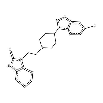 O=c1[nH]c2ccccc2n1CCN1CCC(c2noc3cc(Cl)ccc23)CC1